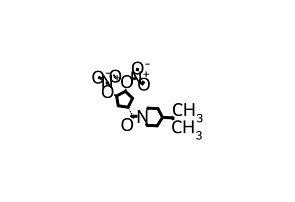 CC(C)C1CCN(C(=O)[C@@H]2C[C@H](O[N+](=O)[O-])[C@H](O[N+](=O)[O-])C2)CC1